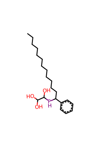 CCCCCCCCCCCCC(PC(O)C(O)O)c1ccccc1